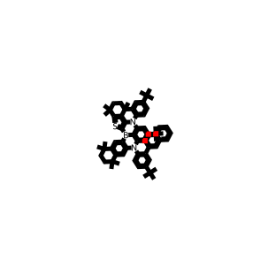 CC(C)(C)c1ccc(N2c3cc4c(cc3B3c5sc6c7c5N(c5ccc(C(C)(C)C)cc5C7(C)CCC6(C)C)c5cc(C(C)(C)C)cc2c53)C(C)(C)CCC4(C)C)c(-c2ccc3ccccc3c2)c1